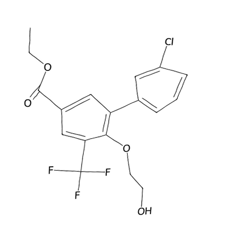 CCOC(=O)c1cc(-c2cccc(Cl)c2)c(OCCO)c(C(F)(F)F)c1